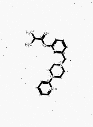 CC(C)C(=O)Oc1cccc(CN2CCN(c3ccccn3)CC2)c1